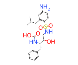 CC(C)Cc1cc(N)ccc1S(=O)(=O)NC[C@@H](O)[C@H](Cc1ccccc1)NC(=O)O